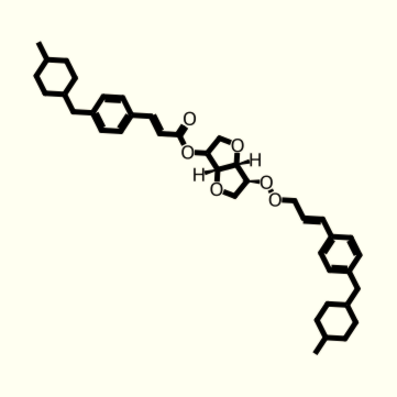 CC1CCC(Cc2ccc(/C=C/COO[C@H]3CO[C@@H]4C(OC(=O)/C=C/c5ccc(CC6CCC(C)CC6)cc5)CO[C@H]34)cc2)CC1